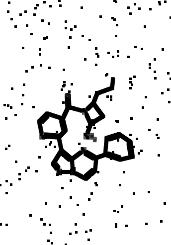 CCCC1CC(N)N1C(=O)c1ccnc(-c2cnn3ccc(-c4ccccc4)nc23)c1